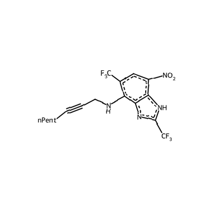 CCCCCC#CCNc1c(C(F)(F)F)cc([N+](=O)[O-])c2[nH]c(C(F)(F)F)nc12